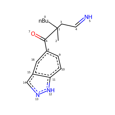 CCCCC(C)(CC=N)C(=O)c1ccc2[nH]ncc2c1